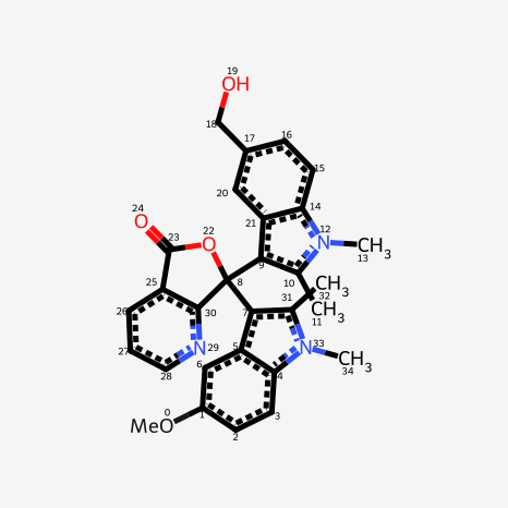 COc1ccc2c(c1)c(C1(c3c(C)n(C)c4ccc(CO)cc34)OC(=O)c3cccnc31)c(C)n2C